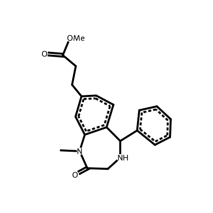 COC(=O)CCc1ccc2c(c1)N(C)C(=O)CNC2c1ccccc1